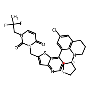 CC(F)(F)Cn1ccc(=O)n(Cc2cc3nccc(-c4cc(Cl)cc5c4N([C@H]4CCNC4)CCC5)c3s2)c1=O